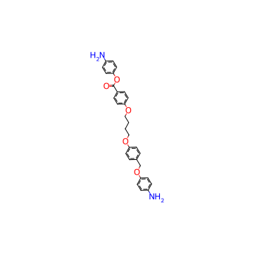 Nc1ccc(OCc2ccc(OCCCCOc3ccc(C(=O)Oc4ccc(N)cc4)cc3)cc2)cc1